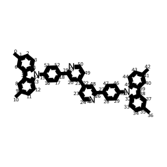 Cc1ccc2c(c1)c1cc(C)ccc1n2-c1ccc(-c2cc(-c3ccnc(-c4ccc(-n5c6ccc(C)cc6c6cc(C)ccc65)cc4)c3)ccn2)cc1